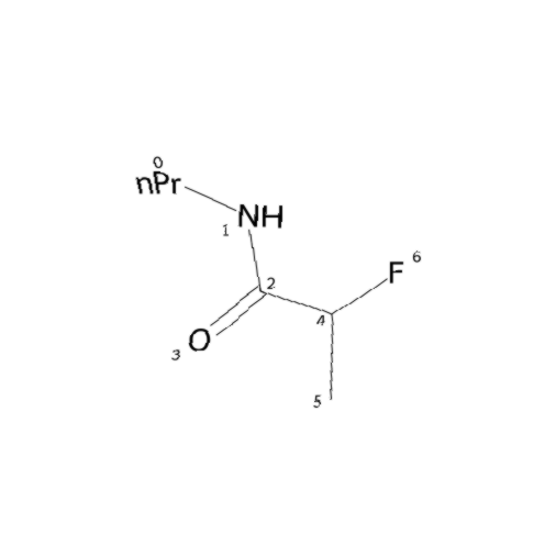 CCCNC(=O)C(C)F